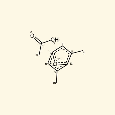 CC(=O)O.Cc1cc2cc(C)c1o2